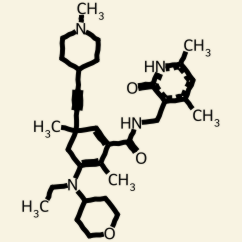 CCN(C1=C(C)C(C(=O)NCc2c(C)cc(C)[nH]c2=O)=CC(C)(C#CC2CCN(C)CC2)C1)C1CCOCC1